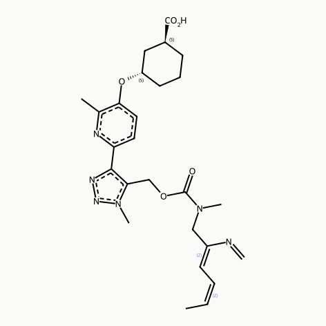 C=N/C(=C\C=C/C)CN(C)C(=O)OCc1c(-c2ccc(O[C@H]3CCC[C@H](C(=O)O)C3)c(C)n2)nnn1C